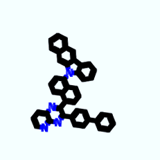 c1ccc(-c2ccc(-c3nc4ncccc4nc3-c3cccc4c(-n5c6ccccc6c6cc7ccccc7cc65)cccc34)cc2)cc1